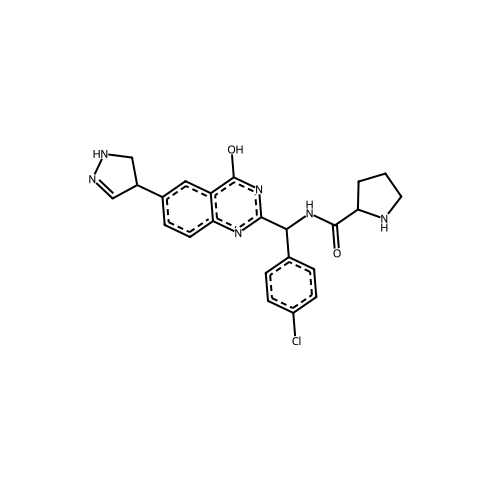 O=C(NC(c1ccc(Cl)cc1)c1nc(O)c2cc(C3C=NNC3)ccc2n1)C1CCCN1